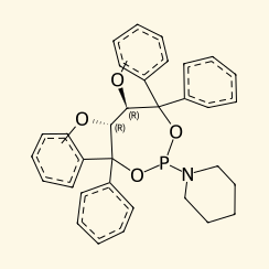 CO[C@@H]1[C@@H](OC)C(c2ccccc2)(c2ccccc2)OP(N2CCCCC2)OC1(c1ccccc1)c1ccccc1